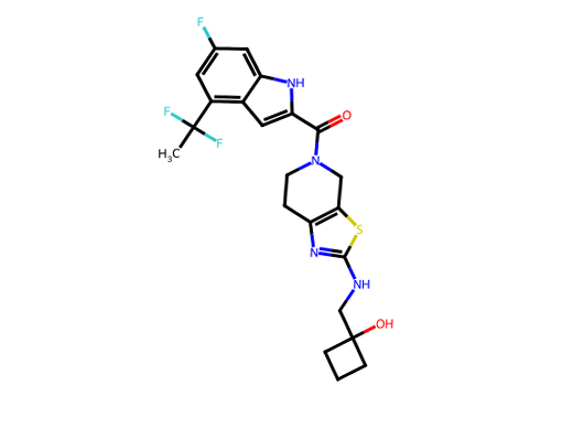 CC(F)(F)c1cc(F)cc2[nH]c(C(=O)N3CCc4nc(NCC5(O)CCC5)sc4C3)cc12